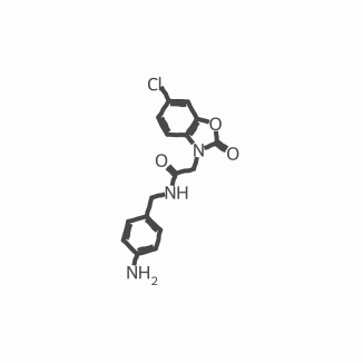 Nc1ccc(CNC(=O)Cn2c(=O)oc3cc(Cl)ccc32)cc1